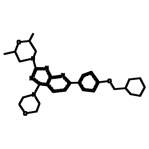 CC1CN(c2nc(N3CCOCC3)c3ccc(-c4ccc(OCC5CCCCC5)cc4)nc3n2)CC(C)O1